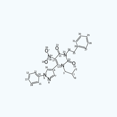 CC(C)Cn1c(-c2cnn(-c3ccccc3)c2)c([N+](=O)[O-])c(=O)n(CCc2ccccc2)c1=O